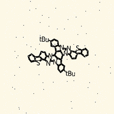 CC(C)(C)c1ccc2c(c1)c1c3c(c4c5cc(C(C)(C)C)ccc5n5c4c1n1c4ccc6c7ccccc7sc6c4nc51)n1c4ccc5c6ccccc6sc5c4nc1n23